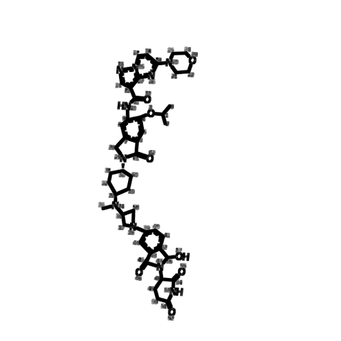 CC(C)Oc1cc2c(cc1NC(=O)c1cnn3ccc(N4CCOCC4)nc13)CN([C@H]1CC[C@H](N(C)C3CN(c4ccc5c(c4)C(=O)N(C4CCC(=O)NC4=O)C5O)C3)CC1)C2=O